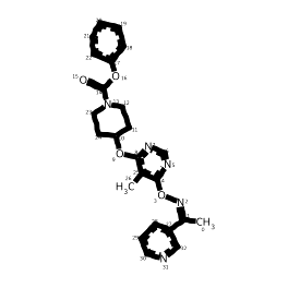 CC(=NOc1ncnc(OC2CCN(C(=O)Oc3ccccc3)CC2)c1C)c1cccnc1